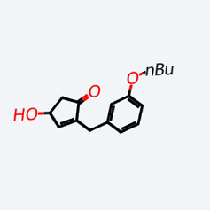 CCCCOc1cccc(CC2=CC(O)CC2=O)c1